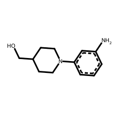 Nc1cccc(N2CCC(CO)CC2)c1